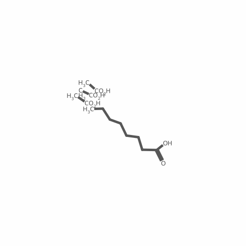 CC(=O)O.CC(=O)O.CC(=O)O.CCCCCCCC(=O)O